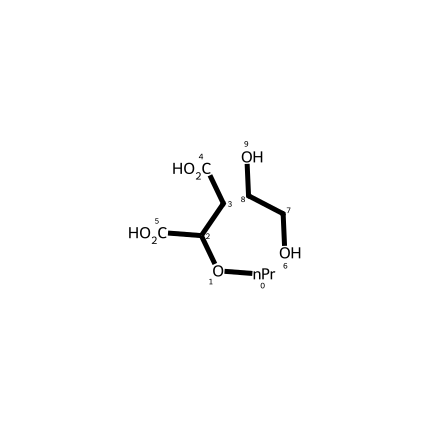 CCCOC(CC(=O)O)C(=O)O.OCCO